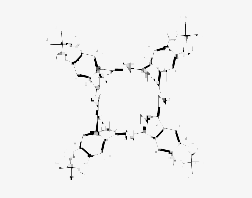 CC1(C)Oc2cc3c(cc2O1)-c1nc-3nc2[nH]c(nc3nc(nc4[nH]c(n1)c1cc5c(cc41)OC(C)(C)O5)-c1cc4c(cc1-3)OC(C)(C)O4)c1cc3c(cc21)OC(C)(C)O3